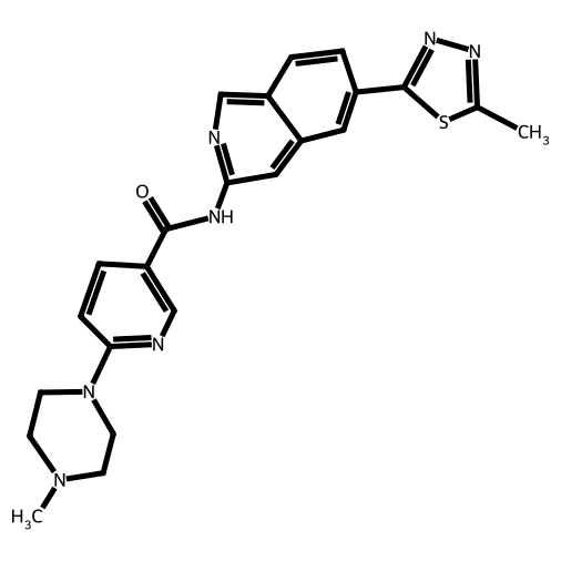 Cc1nnc(-c2ccc3cnc(NC(=O)c4ccc(N5CCN(C)CC5)nc4)cc3c2)s1